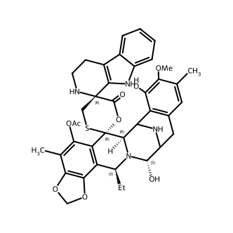 CC[C@H]1c2c3c(c(C)c(OC(C)=O)c2[C@]2(OC(=O)[C@]4(CS2)NCCc2c4[nH]c4ccccc24)[C@H]2C4NC(Cc5cc(C)c(OC)c(O)c54)[C@H](O)N12)OCO3